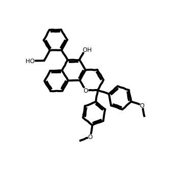 COc1ccc(C2(c3ccc(OC)cc3)C=Cc3c(O)c(-c4ccccc4CO)c4ccccc4c3O2)cc1